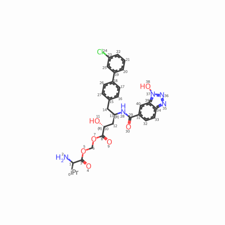 CC(C)C(N)C(=O)OCOC(=O)[C@H](O)C[C@@H](Cc1ccc(-c2cccc(Cl)c2)cc1)NC(=O)c1ccc2nnn(O)c2c1